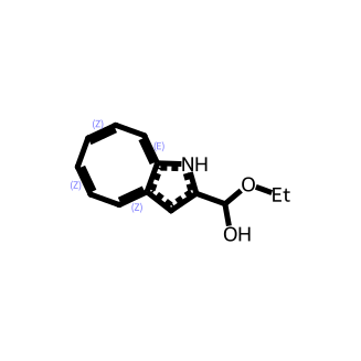 CCOC(O)c1cc2/c([nH]1)=C\C=C/C=C\C=2